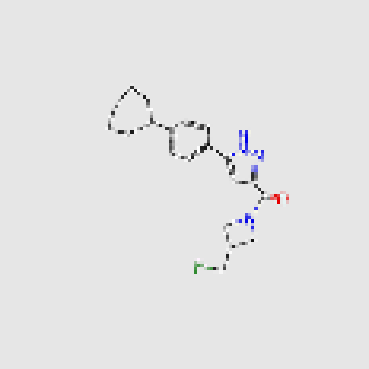 O=C(c1cc(-c2ccc(C3CCCCC3)cc2)[nH]n1)N1CC(CF)C1